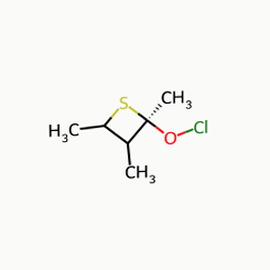 CC1S[C@@](C)(OCl)C1C